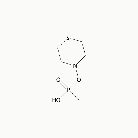 CP(=O)(O)ON1CCSCC1